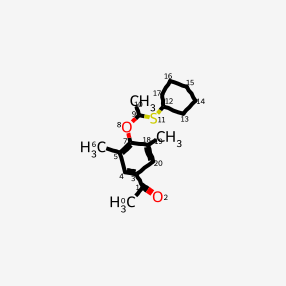 CC(=O)c1cc(C)c(OC(C)SC2CCCCC2)c(C)c1